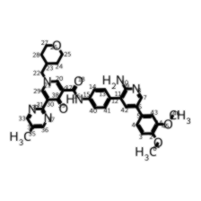 COc1ccc(-c2cnc(N)c(-c3ccc(NC(=O)c4cn(CC5CCOCC5)cc(-c5ncc(C)cn5)c4=O)cc3)c2)cc1OC